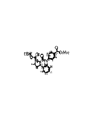 COC(=O)c1ccc(NC(=O)[C@@H]2[C@@H](c3ccccc3)CCN2C(=O)OC(C)(C)C)nc1